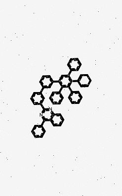 C1=CC(c2c(-c3ccccc3)cc(-c3cccc(-c4cccc(-c5nc(-c6ccccc6)c6ccccc6n5)c4)c3)c(-c3ccccc3)c2-c2ccccc2)=CCC1